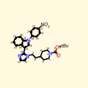 CC(C)(C)OC(=O)N1CCC(CCn2ccnc2-c2cn(-c3ccc([N+](=O)[O-])cc3)c3ccccc23)CC1